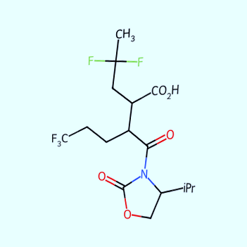 CC(C)C1COC(=O)N1C(=O)C(CCC(F)(F)F)C(CC(C)(F)F)C(=O)O